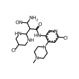 CN1CCN(c2cc(Cl)ncc2NC(=O)C(C(N)N=O)C2NCC(Cl)CN2)CC1